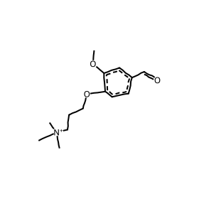 COc1cc(C=O)ccc1OCCC[N+](C)(C)C